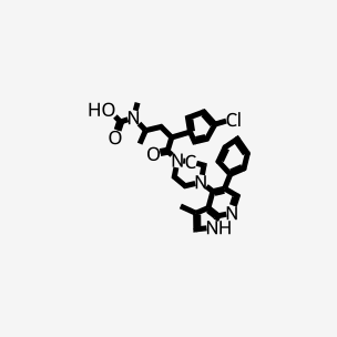 Cc1c[nH]c2ncc(-c3ccccc3)c(N3CCN(C(=O)C(CC(C)N(C)C(=O)O)c4ccc(Cl)cc4)CC3)c12